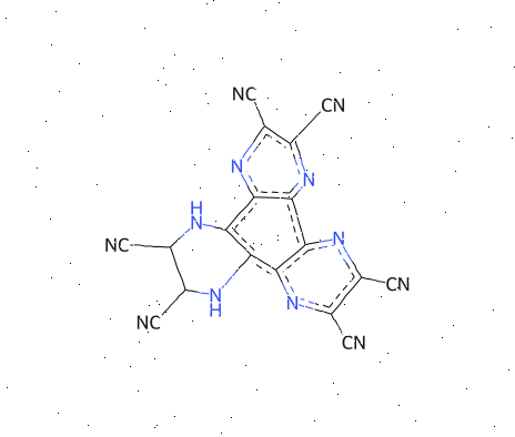 N#Cc1nc2c3c(c4nc(C#N)c(C#N)nc4c2nc1C#N)NC(C#N)C(C#N)N3